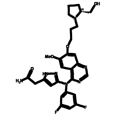 COc1cc2c(N(c3cc(F)cc(F)c3)c3cc(CC(N)=O)[nH]n3)ncnc2cc1OCCCN1CCC[C@@H]1CO